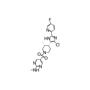 CNc1ncc(S(=O)(=O)N2CC[C@@H](c3[nH]c(-c4ccc(F)cn4)nc3Cl)[C@@H](C)C2)cn1